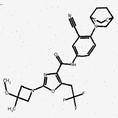 COC1(C)CN(c2nc(C(=O)Nc3ccc(N4CC5CCCC4CC5)c(C#N)c3)c(CC(F)(F)F)o2)C1